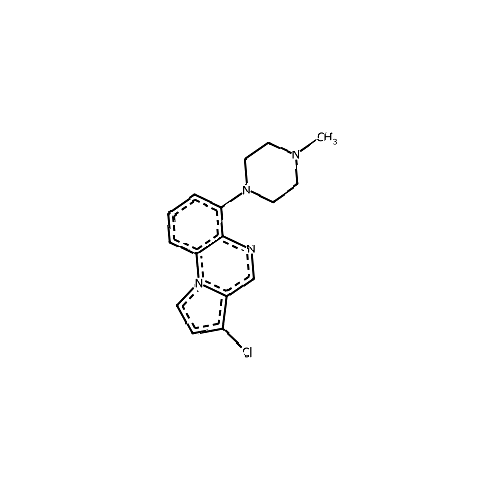 CN1CCN(c2cccc3c2ncc2c(Cl)ccn23)CC1